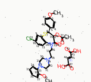 COc1ccc([C@@H]2Sc3cc(Cl)ccc3N(CCCN3CCN(c4ccccc4OC)CC3)C(=O)[C@@H]2OC(C)=O)cc1.O=C(O)/C=C/C(=O)O